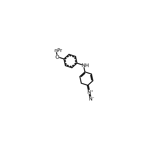 CCCOc1ccc(NC2=CCC(=[N+]=[N-])C=C2)cc1